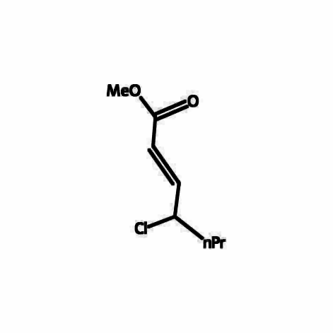 CCCC(Cl)C=CC(=O)OC